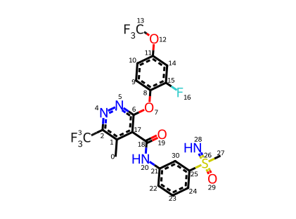 Cc1c(C(F)(F)F)nnc(Oc2ccc(OC(F)(F)F)cc2F)c1C(=O)Nc1cccc(S(C)(=N)=O)c1